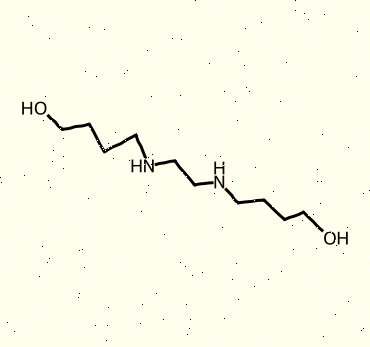 OCCCCNCCNCCCCO